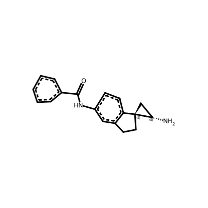 N[C@H]1C[C@]12CCc1cc(NC(=O)c3ccccc3)ccc12